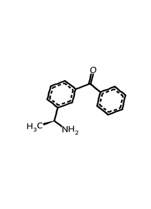 C[C@H](N)c1cccc(C(=O)c2ccccc2)c1